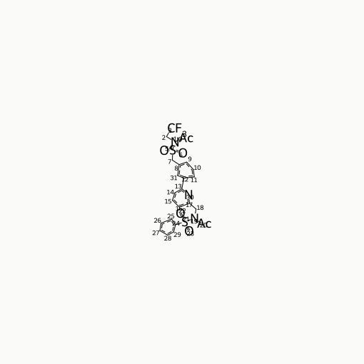 CC(=O)N(CC(F)(F)F)S(=O)(=O)Cc1cccc(-c2cccc(CN(C(C)=O)S(=O)(=O)c3ccccc3)n2)c1